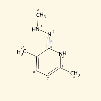 CN/N=c1/[nH]c(C)ccc1C